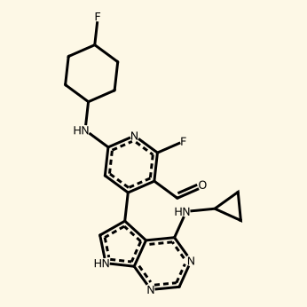 O=Cc1c(-c2c[nH]c3ncnc(NC4CC4)c23)cc(NC2CCC(F)CC2)nc1F